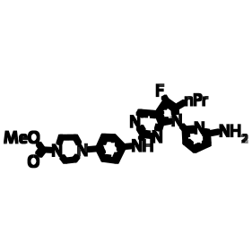 CCCc1c(F)c2cnc(Nc3ccc(N4CCN(C(=O)OC)CC4)cc3)nc2n1-c1cccc(N)n1